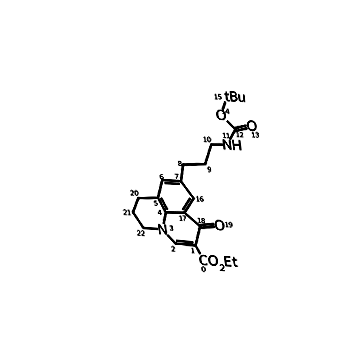 CCOC(=O)c1cn2c3c(cc(CCCNC(=O)OC(C)(C)C)cc3c1=O)CCC2